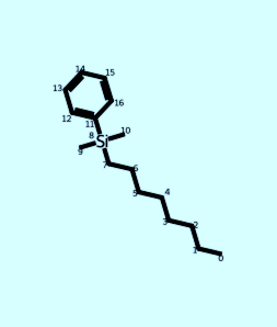 CCCCCCCC[Si](C)(C)c1ccccc1